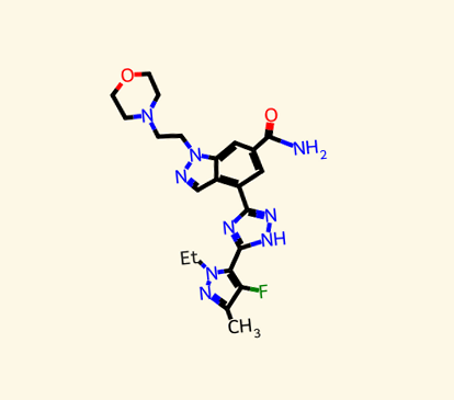 CCn1nc(C)c(F)c1-c1nc(-c2cc(C(N)=O)cc3c2cnn3CCN2CCOCC2)n[nH]1